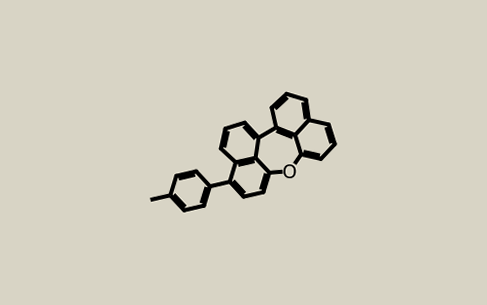 Cc1ccc(-c2ccc3oc4cccc5cccc(c6cccc2c36)c54)cc1